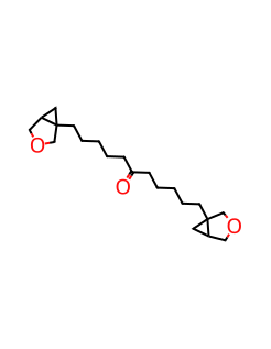 O=C(CCCCCC12COCC1C2)CCCCCC12COCC1C2